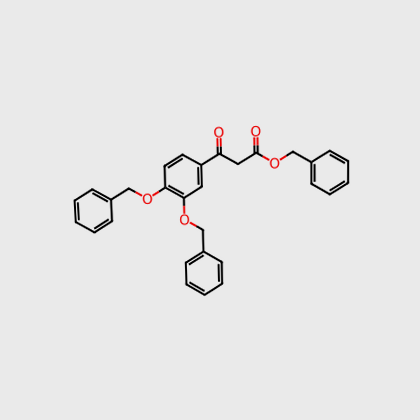 O=C(CC(=O)c1ccc(OCc2ccccc2)c(OCc2ccccc2)c1)OCc1ccccc1